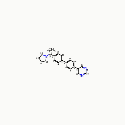 C[C@@H](c1ccc(-c2ccc(-c3cncnc3)cc2)cc1)N1CCCC1